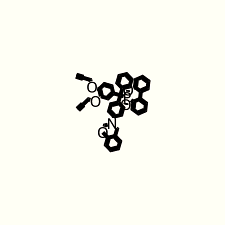 C#CCOc1ccc(C(c2ccccc2)(c2ccc(N3COc4ccccc4C3)cc2)P2(=O)Oc3ccccc3-c3ccccc32)cc1OCC#C